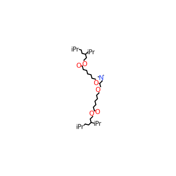 CC(C)CCC(CCOC(=O)CCCCCCOCC(CN(C)C)OCCCCCCC(=O)OCCC(CCC(C)C)C(C)C)C(C)C